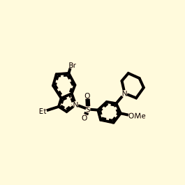 CCc1cn(S(=O)(=O)c2ccc(OC)c(N3CCCCC3)c2)c2cc(Br)ccc12